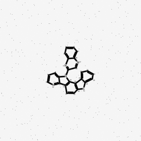 c1ccc2nc(-n3c4cccnc4c4ccc5sc6ccccc6c5c43)cnc2c1